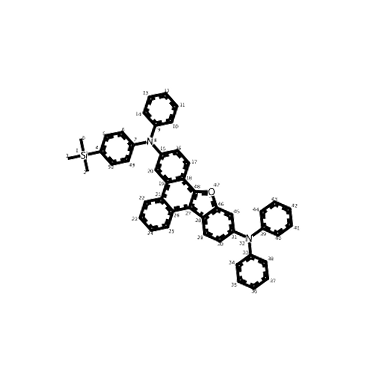 C[Si](C)(C)c1ccc(N(c2ccccc2)c2ccc3c(c2)c2ccccc2c2c4ccc(N(c5ccccc5)c5ccccc5)cc4oc32)cc1